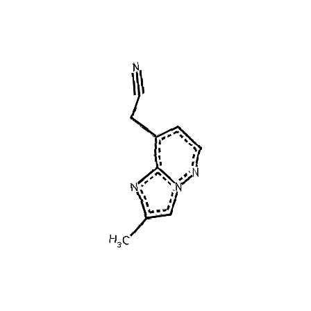 Cc1cn2nccc(CC#N)c2n1